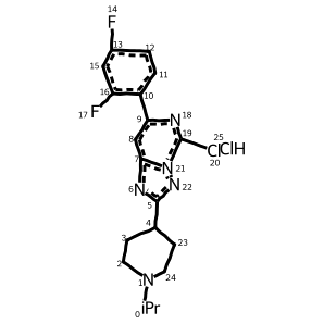 CC(C)N1CCC(c2nc3cc(-c4ccc(F)cc4F)nc(Cl)n3n2)CC1.Cl